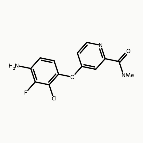 CNC(=O)c1cc(Oc2ccc(N)c(F)c2Cl)ccn1